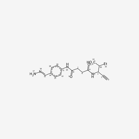 C#CC(NC(=O)CCC(=O)Nc1ccc(C=NN)cc1)C(CC)C(=O)O